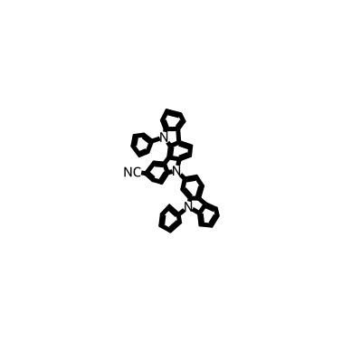 N#Cc1ccc2c(c1)c1c(ccc3c4ccccc4n(-c4ccccc4)c31)n2-c1ccc2c3ccccc3n(-c3ccccc3)c2c1